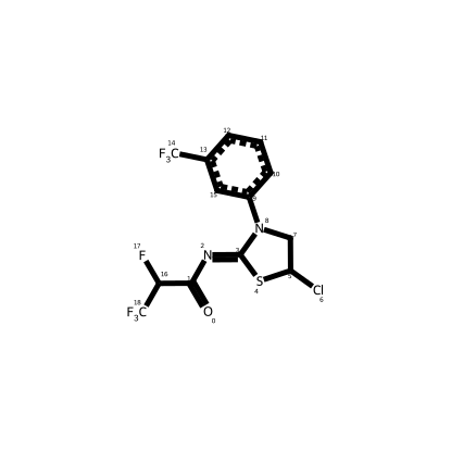 O=C(N=C1SC(Cl)CN1c1cccc(C(F)(F)F)c1)C(F)C(F)(F)F